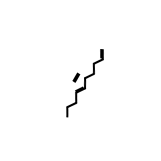 C=C.C=CCCCC=CCCC